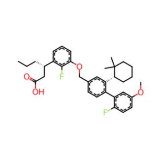 CCC[C@@H](CC(=O)O)c1cccc(OCc2ccc(-c3cc(OC)ccc3F)c([C@H]3CCCCC3(C)C)c2)c1F